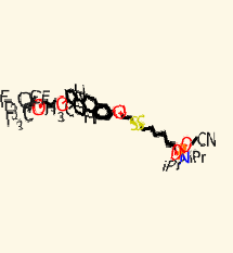 CC(C)N(C(C)C)P(OCCC#N)OCCCCCCSSCCOc1ccc2c(c1)CC[C@@H]1[C@@H]2CC[C@]2(C)[C@@H](OCCCOC(C(F)(F)F)(C(F)(F)F)C(F)(F)F)CC[C@@H]12